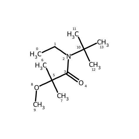 CCN(C(=O)C(C)(C)OC)C(C)(C)C